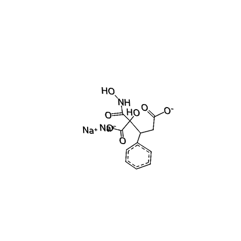 O=C([O-])CC(c1ccccc1)C(O)(C(=O)[O-])C(=O)NO.[Na+].[Na+]